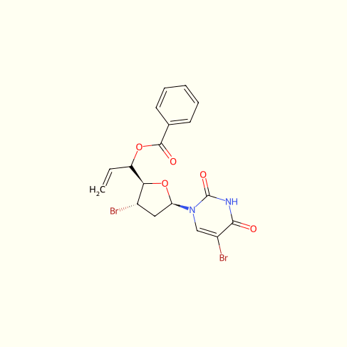 C=CC(OC(=O)c1ccccc1)[C@H]1O[C@@H](n2cc(Br)c(=O)[nH]c2=O)C[C@@H]1Br